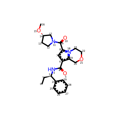 CC[C@@H](NC(=O)c1cc(C(=O)N2CC[C@H](OC)C2)n2c1COCC2)c1ccccc1